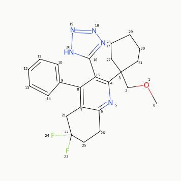 COCC1(c2nc3c(c(-c4ccccc4)c2-c2nnn[nH]2)CC(F)(F)CC3)CCCCC1